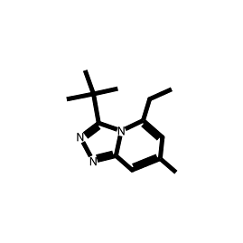 CCc1cc(C)cc2nnc(C(C)(C)C)n12